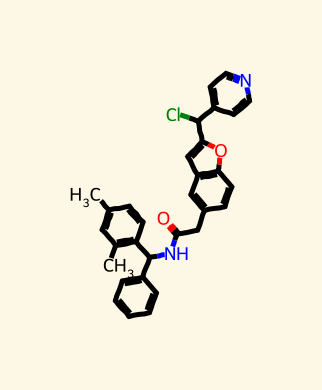 Cc1ccc(C(NC(=O)Cc2ccc3oc(C(Cl)c4ccncc4)cc3c2)c2ccccc2)c(C)c1